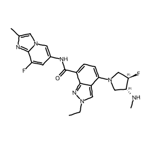 CCn1cc2c(N3C[C@@H](F)[C@H](NC)C3)ccc(C(=O)Nc3cc(F)c4nc(C)cn4c3)c2n1